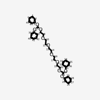 c1ccc(OC(OCCOCCOCCOCCOCCOC(Oc2ccccc2)Oc2ccccc2)Oc2ccccc2)cc1